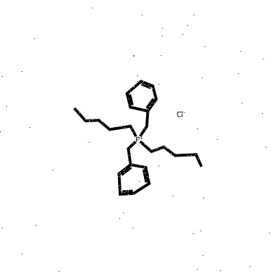 CCCCC[P+](CCCCC)(Cc1ccccc1)Cc1ccccc1.[Cl-]